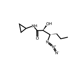 CCC[C@H](N=[N+]=[N-])[C@H](O)C(=O)NC1CC1